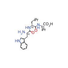 CC(C)C[C@H](NC(=O)[C@@H](N)Cc1c[nH]c2ccccc12)C(=O)N[C@H](C(=O)O)C(C)C